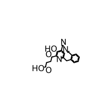 N#Cc1ccccc1Cc1cc(C#N)c(O)c(C(=O)CCC(=O)O)n1